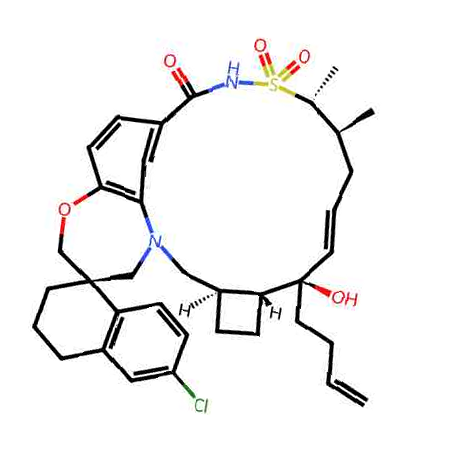 C=CCC[C@@]1(O)/C=C/C[C@H](C)[C@@H](C)S(=O)(=O)NC(=O)c2ccc3c(c2)N(C[C@@H]2CC[C@H]21)C[C@@]1(CCCc2cc(Cl)ccc21)CO3